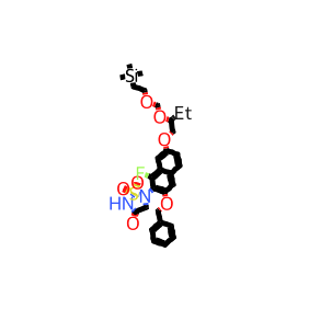 CCC(COc1ccc2cc(OCc3ccccc3)c(N3CC(=O)NS3(=O)=O)c(F)c2c1)OCOCC[Si](C)(C)C